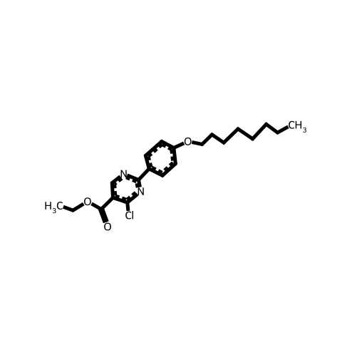 CCCCCCCCOc1ccc(-c2ncc(C(=O)OCC)c(Cl)n2)cc1